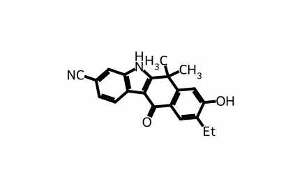 CCc1cc2c(cc1O)C(C)(C)c1[nH]c3cc(C#N)ccc3c1C2=O